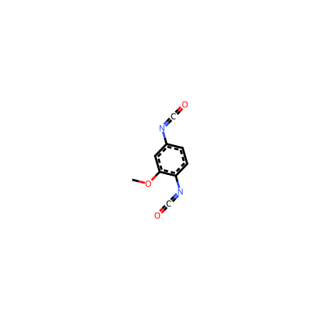 COc1cc(N=C=O)ccc1N=C=O